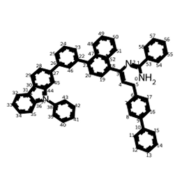 N/C(=N\C(=C/Cc1ccc(-c2ccccc2)cc1)c1ccc(-c2cccc(-c3ccc4c5ccccc5n(-c5ccccc5)c4c3)c2)c2ccccc12)c1ccccc1